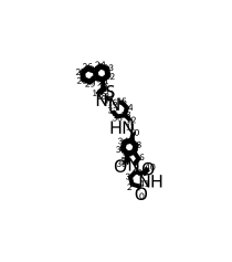 O=C1CCC(N2Cc3cc(CNCC4CCN(c5ncc(-c6cccc7ccccc67)s5)CC4)ccc3C2=O)C(=O)N1